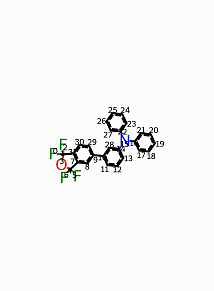 FC1(F)OC(F)(F)c2cc(-c3cccc(N(c4ccccc4)c4ccccc4)c3)ccc21